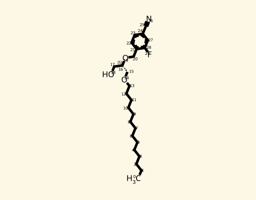 CCCCCCCCCCCCCCOC[C@H](CO)OCc1ccc(C#N)cc1F